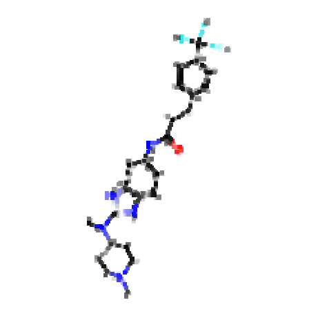 CN1CCC(N(C)c2nc3ccc(NC(=O)CCc4ccc(C(F)(F)F)cc4)cc3[nH]2)CC1